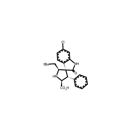 CC(C)(C)C[C@@H]1N[C@H](C(=O)O)[C@@H](c2ccccc2)[C@]12C(=O)Nc1cc(Cl)ccc12